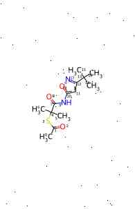 CC(=O)SC(C)(C)C(=O)Nc1cc(C(C)(C)C)no1